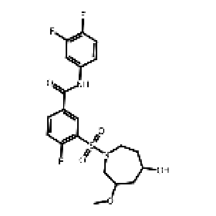 COC1CC(O)CCN(S(=O)(=O)c2cc(C(=O)Nc3ccc(F)c(F)c3)ccc2F)C1